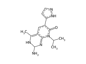 CC1=c2cc(-c3ccn[nH]3)c(=O)n(C(C)C)c2=NC(N)N1